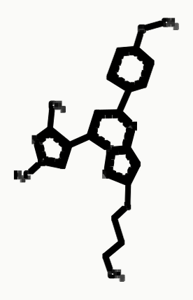 CCCCSc1cc2nc(-c3ccc(OC)cc3)cc(-c3cn(C)nc3C)n2n1